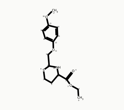 CCOC(=O)C1CCSC(COc2ccc(OC)cc2)N1